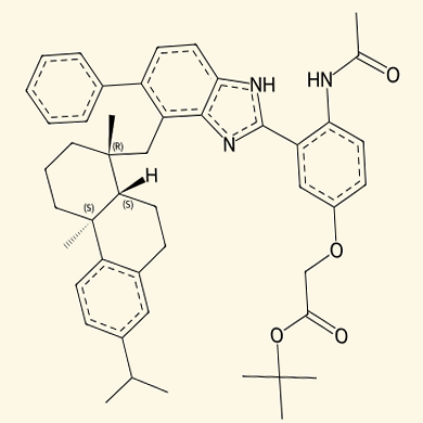 CC(=O)Nc1ccc(OCC(=O)OC(C)(C)C)cc1-c1nc2c(C[C@@]3(C)CCC[C@]4(C)c5ccc(C(C)C)cc5CC[C@@H]34)c(-c3ccccc3)ccc2[nH]1